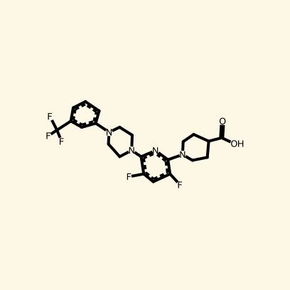 O=C(O)C1CCN(c2nc(N3CCN(c4cccc(C(F)(F)F)c4)CC3)c(F)cc2F)CC1